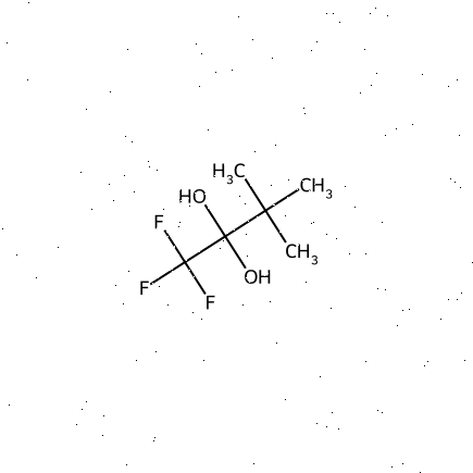 CC(C)(C)C(O)(O)C(F)(F)F